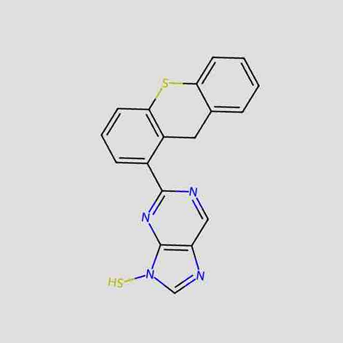 Sn1cnc2cnc(-c3cccc4c3Cc3ccccc3S4)nc21